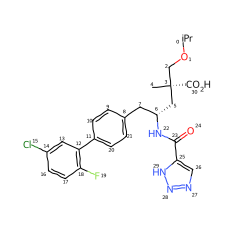 CC(C)OC[C@](C)(C[C@@H](Cc1ccc(-c2cc(Cl)ccc2F)cc1)NC(=O)c1cnn[nH]1)C(=O)O